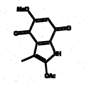 COC1=CC(=O)c2[nH]c(OC(C)=O)c(C)c2C1=O